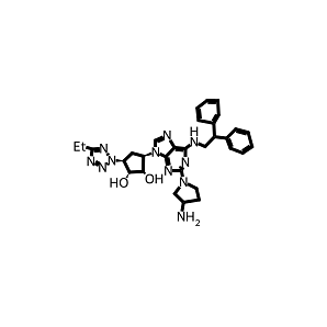 CCc1nnn([C@H]2C[C@@H](n3cnc4c(NCC(c5ccccc5)c5ccccc5)nc(N5CCC(N)C5)nc43)[C@H](O)[C@@H]2O)n1